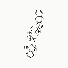 C[C@]12C=CC(=O)N(Cc3ccccc3)C1CC[C@@H]1[C@H]2CC[C@]2(C)C(C(=O)Nc3ccccc3Cl)CC[C@@H]12